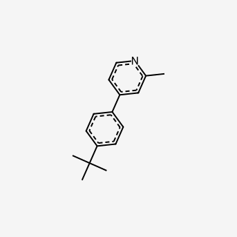 Cc1cc(-c2ccc(C(C)(C)C)cc2)ccn1